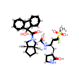 CS(=O)(=O)/C(F)=C/[C@@H](C[C@@H]1CCNC1=O)NC(=O)[C@@H]1[C@@H]2CCC[C@@H]2CN1C(=O)C1(O)c2ccccc2-c2ccccc21